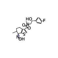 CC1CCc2c(S(=O)(=O)N(C)CC(O)c3ccc(F)cc3)csc2/C1=N\O